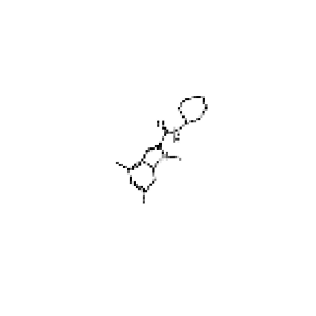 CC1=CC(C)=C2C=C(C(=O)NC3CCCCC3)N(C)C2C1